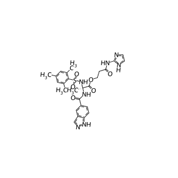 Cc1cc(C)c(S(=O)(=O)N[C@](C)(NC(=O)c2ccc3[nH]ncc3c2)C(=O)OCCC(=O)Nc2ncc[nH]2)c(C)c1